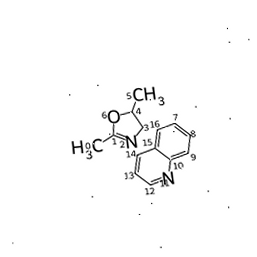 CC1=NCC(C)O1.c1ccc2ncccc2c1